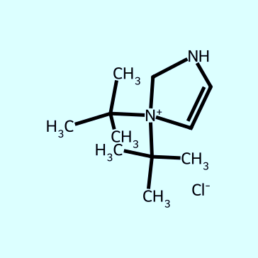 CC(C)(C)[N+]1(C(C)(C)C)C=CNC1.[Cl-]